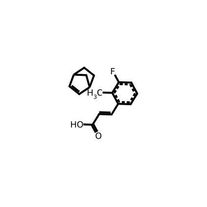 C1=CC2CCC1C2.Cc1c(F)cccc1C=CC(=O)O